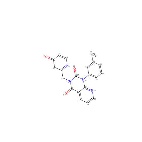 O=C1C=CN=C(Cn2c(=O)c3cccnc3n(-c3cccc([N+](=O)[O-])c3)c2=O)C1